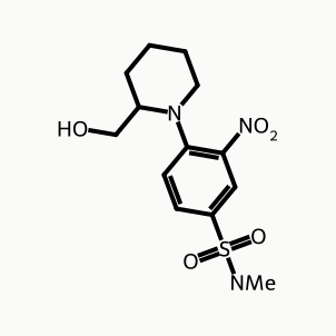 CNS(=O)(=O)c1ccc(N2CCCCC2CO)c([N+](=O)[O-])c1